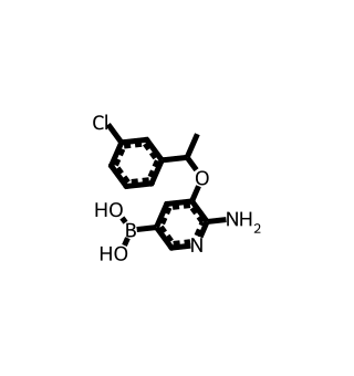 CC(Oc1cc(B(O)O)cnc1N)c1cccc(Cl)c1